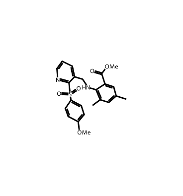 COC(=O)c1cc(C)cc(C)c1NCc1cccnc1S(=O)(=O)c1ccc(OC)cc1